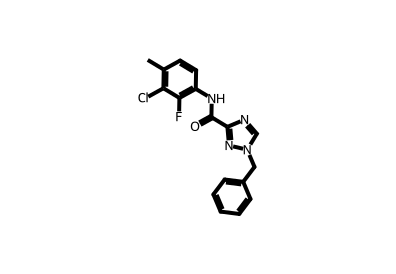 Cc1ccc(NC(=O)c2ncn(Cc3ccccc3)n2)c(F)c1Cl